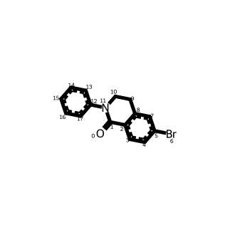 O=C1c2ccc(Br)cc2CCN1c1ccccc1